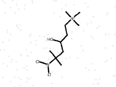 CC(C)(CC(O)CC[N+](C)(C)C)N(Cl)Cl